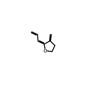 C=C/C=C1/OCCC1=C